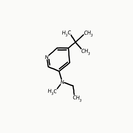 CCN(C)c1cncc(C(C)(C)C)c1